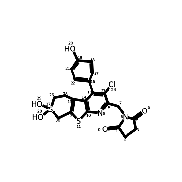 O=C1CCC(=O)N1Cc1nc2sc3c(c2c(-c2ccc(O)cc2)c1Cl)CCS(O)(O)C3